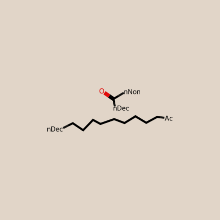 CCCCCCCCCCC(=O)CCCCCCCCC.CCCCCCCCCCCCCCCCCCCC(C)=O